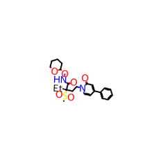 CCC(CCn1ccc(-c2ccccc2)cc1=O)(C(=O)NOC1CCCCO1)S(C)(=O)=O